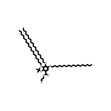 CCCCCCCCCCCCCCCCCCOc1cc(C(=O)OCC=O)c(OC(C)(C)C)c(OCCCCCCCCCCCCCCCCCC)c1OCCCCCCCCCCCCCCCCCC